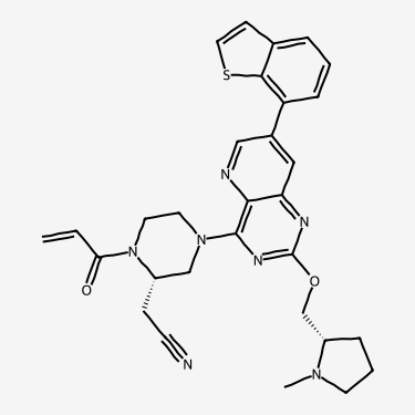 C=CC(=O)N1CCN(c2nc(OC[C@@H]3CCCN3C)nc3cc(-c4cccc5ccsc45)cnc23)C[C@@H]1CC#N